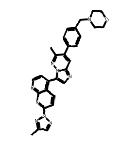 Cc1cnn(-c2ccc3c(-c4cnc5cc(-c6ccc(CN7CCOCC7)cc6)c(C)nn45)ccnc3n2)n1